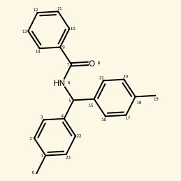 Cc1ccc(C(NC(=O)c2ccccc2)c2ccc(C)cc2)cc1